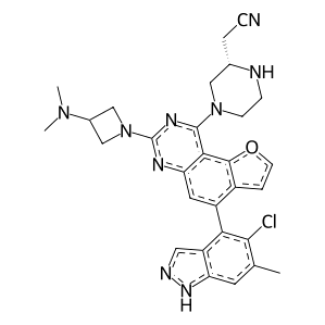 Cc1cc2[nH]ncc2c(-c2cc3nc(N4CC(N(C)C)C4)nc(N4CCN[C@@H](CC#N)C4)c3c3occc23)c1Cl